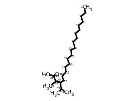 CCCCCCCCCCCCCCCCCCC(=C(C)C(=O)O)C(C)C